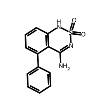 NC1=NS(=O)(=O)Nc2cccc(-c3ccccc3)c21